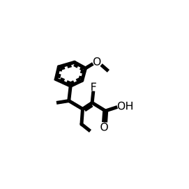 CCC(=C(F)C(=O)O)C(C)c1cccc(OC)c1